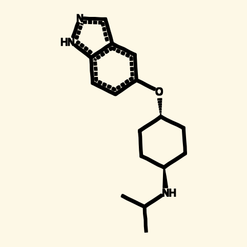 CC(C)N[C@H]1CC[C@H](Oc2ccc3[nH]ncc3c2)CC1